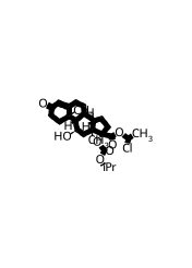 CC(C)OC(=O)O[C@]1(C(=O)OC(C)Cl)CC[C@H]2[C@@H]3CCC4=CC(=O)CC[C@]4(C)[C@H]3[C@@H](O)C[C@@]21C